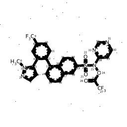 Cn1nccc1-c1cc(C(F)(F)F)ccc1-c1cccc2cc(S(=O)(=O)N(OC(=O)C(F)(F)F)c3ccncn3)ccc12